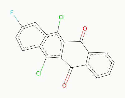 O=C1c2ccccc2C(=O)c2c1c(Cl)c1ccc(F)cc1c2Cl